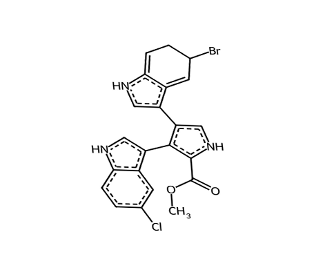 COC(=O)c1[nH]cc(-c2c[nH]c3c2=CC(Br)CC=3)c1-c1c[nH]c2ccc(Cl)cc12